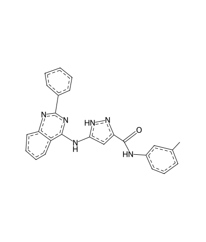 Cc1cccc(NC(=O)c2cc(Nc3nc(-c4ccccc4)nc4ccccc34)[nH]n2)c1